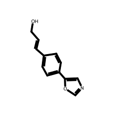 OCC=Cc1ccc(-c2cnco2)cc1